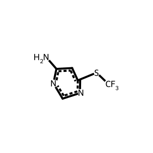 Nc1cc(SC(F)(F)F)ncn1